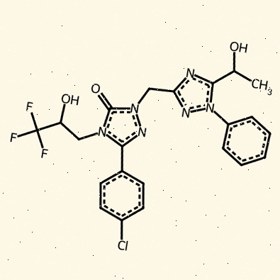 CC(O)c1nc(Cn2nc(-c3ccc(Cl)cc3)n(CC(O)C(F)(F)F)c2=O)nn1-c1ccccc1